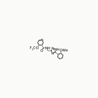 COc1ccccc1-c1nc(CNC(=O)c2cnccc2OC(F)(F)F)n[nH]1